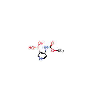 CC(C)(C)OC(=O)Nc1ccncc1B(O)O